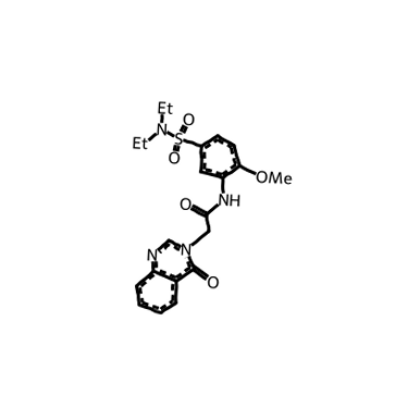 CCN(CC)S(=O)(=O)c1ccc(OC)c(NC(=O)Cn2cnc3ccccc3c2=O)c1